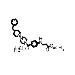 CCOC(=O)CCNc1ccc(C(=O)N2CCN(N3CCC(Cc4ccccc4)CC3)CC2)cc1.Cl.Cl